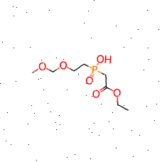 CCOC(=O)CP(=O)(O)CCOCOC